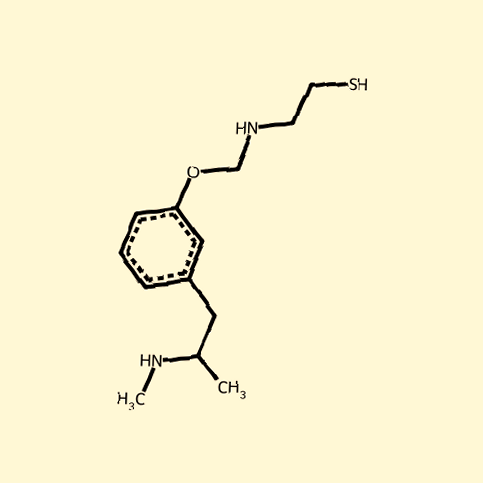 CNC(C)Cc1cccc(OCNCCS)c1